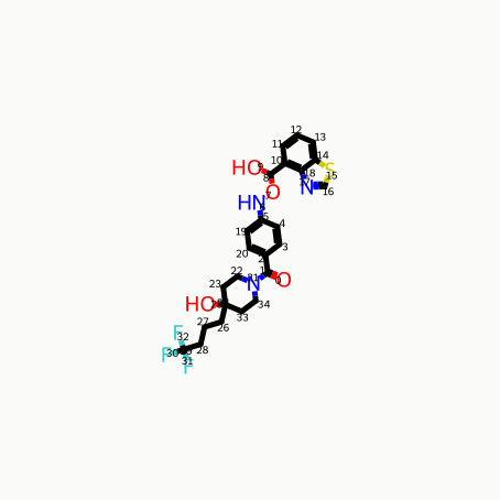 O=C(c1ccc(NOC(O)c2cccc3scnc23)cc1)N1CCC(O)(CCCC(F)(F)F)CC1